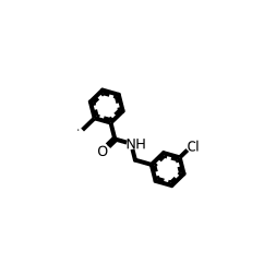 [CH2]c1ccccc1C(=O)NCc1cccc(Cl)c1